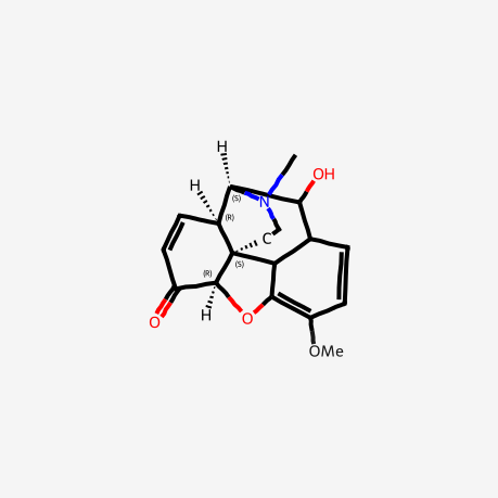 COC1=C2O[C@H]3C(=O)C=C[C@H]4[C@H]5C(O)C(C=C1)C2[C@@]34CCN5C